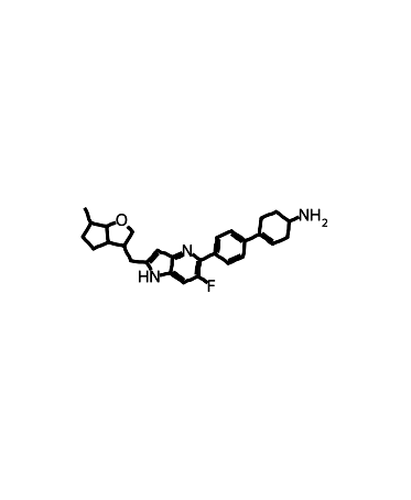 CC1CCC2C(Cc3cc4nc(-c5ccc(C6=CCC(N)CC6)cc5)c(F)cc4[nH]3)COC12